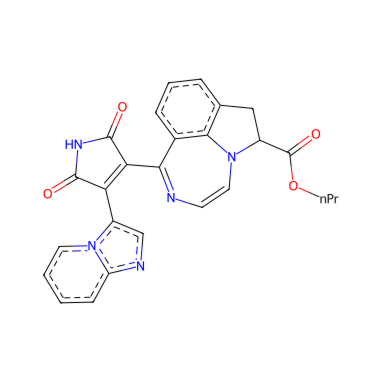 CCCOC(=O)C1Cc2cccc3c2N1C=CN=C3C1=C(c2cnc3ccccn23)C(=O)NC1=O